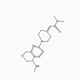 CNC1COCc2nc(N3CCC(=CC(=O)N(C)C)CC3)ccc21